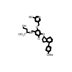 COc1ccc(-c2cccc3c2CC[C@@H]3Oc2cc(OCc3cncc(C#N)c3)c(CN[C@@H](CCO)C(=O)O)cc2Cl)cc1